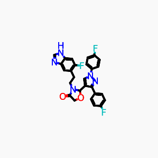 O=C1COC(c2cn(-c3ccc(F)cc3)nc2-c2ccc(F)cc2)N1CCc1cc2nc[nH]c2cc1F